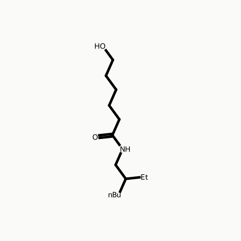 CCCCC(CC)CNC(=O)CCCCCO